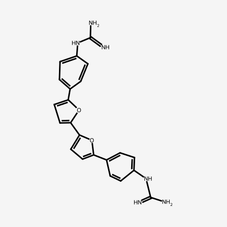 N=C(N)Nc1ccc(-c2ccc(-c3ccc(-c4ccc(NC(=N)N)cc4)o3)o2)cc1